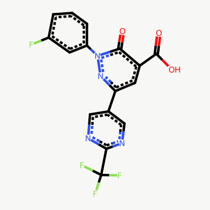 O=C(O)c1cc(-c2cnc(C(F)(F)F)nc2)nn(-c2cccc(F)c2)c1=O